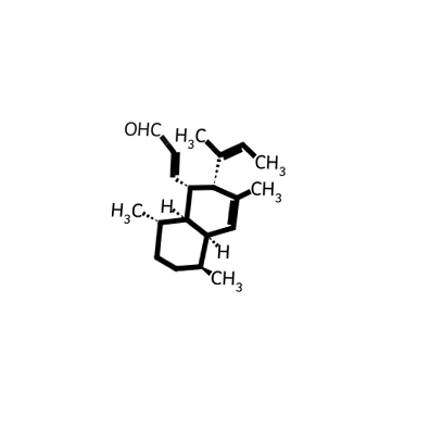 C/C=C(/C)[C@@H]1C(C)=C[C@@H]2[C@H]([C@@H]1/C=C/C=O)[C@@H](C)CC[C@@H]2C